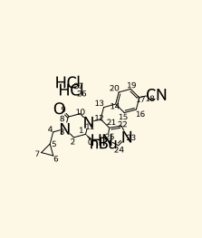 CCCC[C@H]1CN(CC2CC2)C(=O)CN1C(Cc1ccc(C#N)cc1)c1cnc[nH]1.Cl.Cl